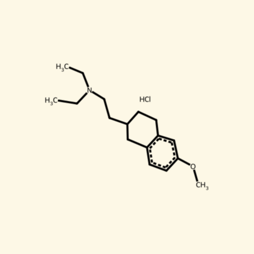 CCN(CC)CCC1CCc2cc(OC)ccc2C1.Cl